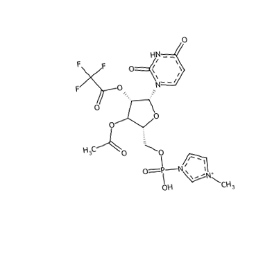 CC(=O)OC1[C@@H](COP(=O)(O)n2cc[n+](C)c2)O[C@@H](n2ccc(=O)[nH]c2=O)[C@H]1OC(=O)C(F)(F)F